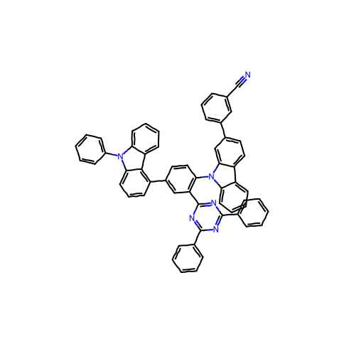 N#Cc1cccc(-c2ccc3c4ccccc4n(-c4ccc(-c5cccc6c5c5ccccc5n6-c5ccccc5)cc4-c4nc(-c5ccccc5)nc(-c5ccccc5)n4)c3c2)c1